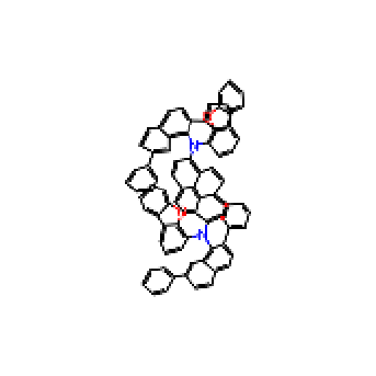 c1ccc(-c2ccc3ccc(-c4ccccc4)c(N(c4ccc5ccc6c(N(c7c(-c8ccccc8)ccc8ccc(-c9ccccc9)cc78)c7cccc8c7oc7ccccc78)ccc7ccc4c5c76)c4cccc5c4oc4ccccc45)c3c2)cc1